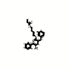 C=CC(=O)OCCCCOC(=O)C(Cc1ccccc1)CC(Cc1ccccc1)C(C)=O